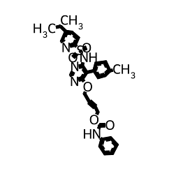 Cc1ccc(-c2c(NS(=O)(=O)c3ccc(C(C)C)cn3)ncnc2OCC#CCOC(=O)Nc2ccccc2)cc1